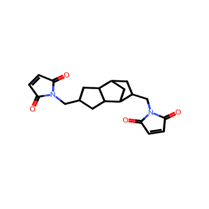 O=C1C=CC(=O)N1CC1CC2C3CC(CN4C(=O)C=CC4=O)C(C3)C2C1